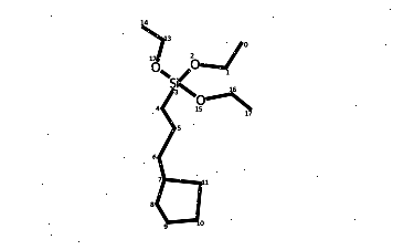 CCO[Si](CCCC1CCCC1)(OCC)OCC